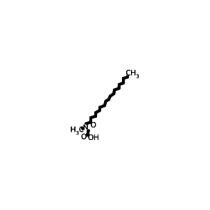 CCCCCCCCCCCCCCCCCC(=O)CN(C)CC(=O)O